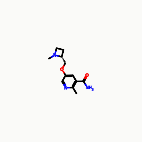 Cc1ncc(OC[C@H]2CCN2C)cc1C(N)=O